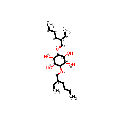 CCCCC(CC)CO[C@H]1[C@H](O)[C@@H](O)[C@H](OCC(CC)CCCC)[C@@H](O)[C@H]1O